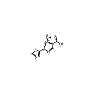 O=C(O)c1cnc(-c2ccco2)nc1O